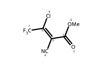 COC(=O)C(C#N)=C(Cl)C(F)(F)F